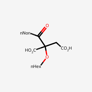 CCCCCCCCCC(=O)C(CC(=O)O)(OCCCCCC)C(=O)O